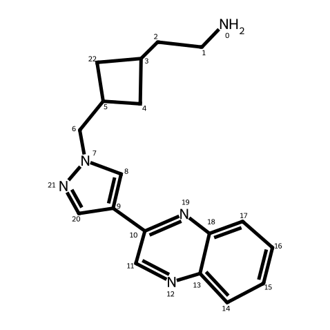 NCCC1CC(Cn2cc(-c3cnc4ccccc4n3)cn2)C1